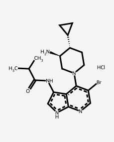 CC(C)C(=O)Nc1c[nH]c2ncc(Br)c(N3CC[C@@H](C4CC4)[C@H](N)C3)c12.Cl